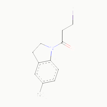 O=C(CCI)N1CCc2cc([N+](=O)[O-])ccc21